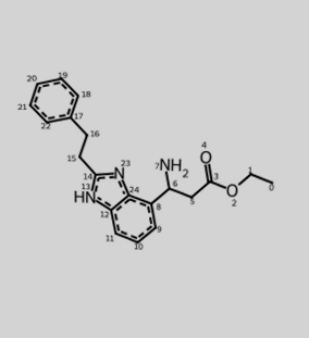 CCOC(=O)CC(N)c1cccc2[nH]c(CCc3ccccc3)nc12